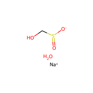 O.O=S([O-])CO.[Na+]